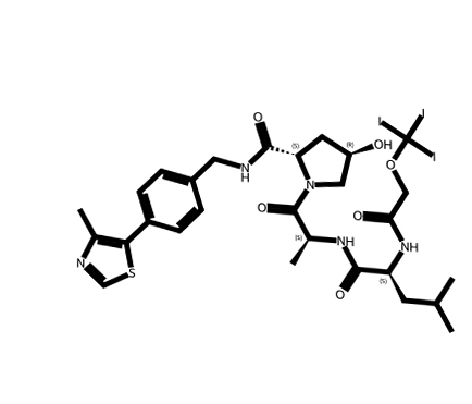 Cc1ncsc1-c1ccc(CNC(=O)[C@@H]2C[C@@H](O)CN2C(=O)[C@H](C)NC(=O)[C@H](CC(C)C)NC(=O)COC(I)(I)I)cc1